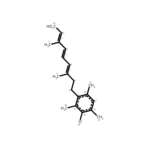 CC(/C=C/C=C(\C)CCc1c(C)cc(C)c(Cl)c1C)=C\C(=O)O